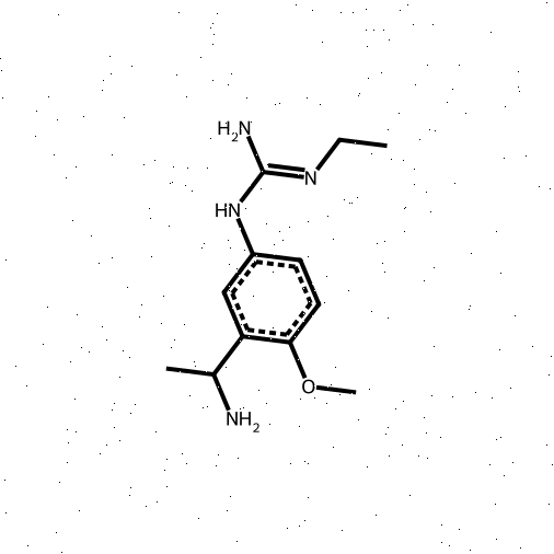 CCN=C(N)Nc1ccc(OC)c(C(C)N)c1